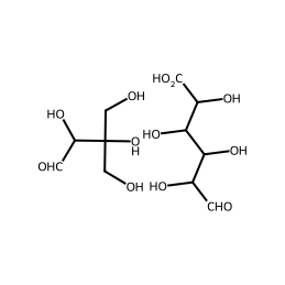 O=CC(O)C(O)(CO)CO.O=CC(O)C(O)C(O)C(O)C(=O)O